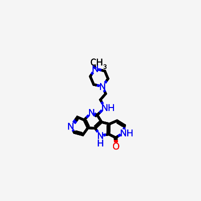 CN1CCN(CCNc2nc3cnccc3c3[nH]c4c(=O)[nH]ccc4c23)CC1